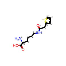 N[C@@H](CCCCNC(=O)Cc1cccs1)C(=O)O